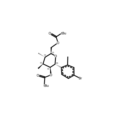 Cc1cc(Br)ccc1[C@H]1O[C@H](COC(=O)C(C)(C)C)[C@@H](C)[C@H](C)[C@@H]1OC(=O)C(C)(C)C